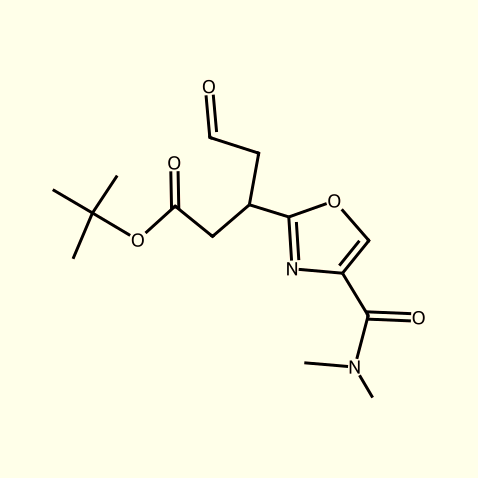 CN(C)C(=O)c1coc(C(CC=O)CC(=O)OC(C)(C)C)n1